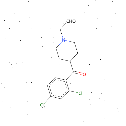 O=CCN1CCC(C(=O)c2ccc(Cl)cc2Cl)CC1